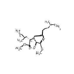 COC(=O)[C@H](CC(C)C)n1cc(CCN(C)C)nc(OC)c1=O